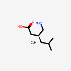 CC(C)C[C@H](CN)CC(=O)O.[CsH]